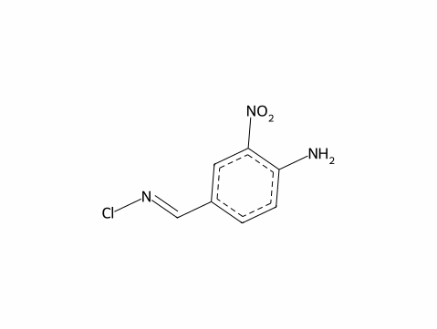 Nc1ccc(C=NCl)cc1[N+](=O)[O-]